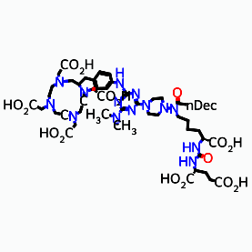 CCCCCCCCCCC(=O)N(CCCC[C@H](NC(=O)N[C@@H](CCC(=O)O)C(=O)O)C(=O)O)N1CCN(c2nc(Nc3ccc(CC4CN(CC(=O)O)CCN(CC(=O)O)CCN(CC(=O)O)CCN4CC(=O)O)cc3)nc(N(C)C)n2)CC1